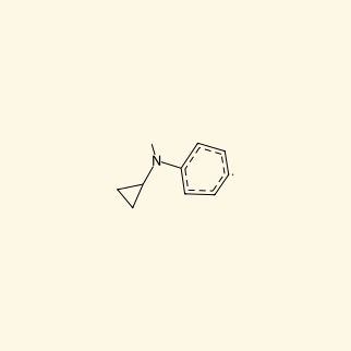 CN(c1cc[c]cc1)C1CC1